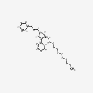 CCCCCCCCCCCCn1cc(CCCc2ccccc2)nc1-c1ccccc1